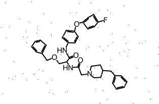 O=C(CN1CCC(Cc2ccccc2)CC1)NC(COCc1ccccc1)C(=O)Nc1ccc(Oc2ccc(F)cc2)cc1